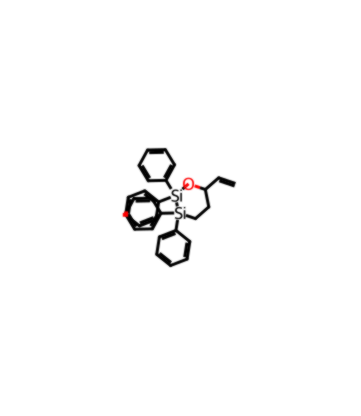 C=CC1CC[Si](c2ccccc2)(c2ccccc2)[Si](c2ccccc2)(c2ccccc2)O1